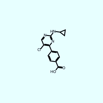 O=C(O)c1ccc(-c2nc(NC3CC3)ncc2Cl)cc1